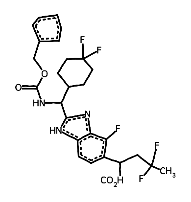 CC(F)(F)CC(C(=O)O)c1ccc2[nH]c(C(NC(=O)OCc3ccccc3)C3CCC(F)(F)CC3)nc2c1F